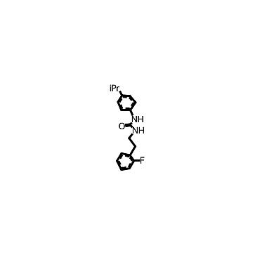 CC(C)c1ccc(NC(=O)NCCc2ccccc2F)cc1